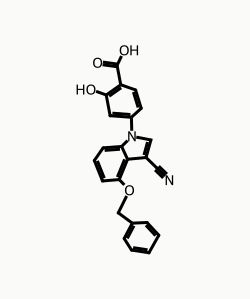 N#Cc1cn(-c2ccc(C(=O)O)c(O)c2)c2cccc(OCc3ccccc3)c12